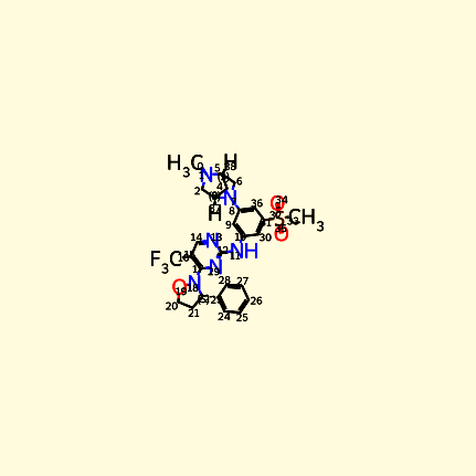 CN1C[C@@H]2C[C@H]1CN2c1cc(Nc2ncc(C(F)(F)F)c(N3OCC[C@H]3c3ccccc3)n2)cc(S(C)(=O)=O)c1